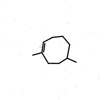 C/C1=C/CCCC(C)CC1